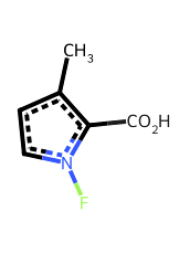 Cc1ccn(F)c1C(=O)O